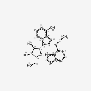 C=C=Nc1ncnc2nc[nH]c12.OC[C@H]1O[C@@H](n2cnc3c(O)ncnc32)[C@H](O)[C@@H]1O